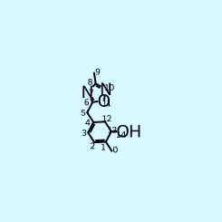 CC1=CC=C(Cc2nc(C)no2)CC1O